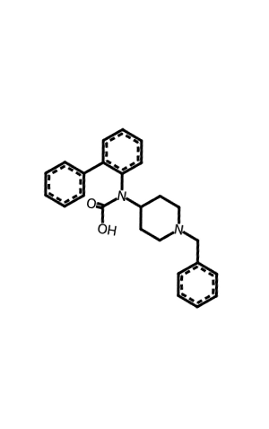 O=C(O)N(c1ccccc1-c1ccccc1)C1CCN(Cc2ccccc2)CC1